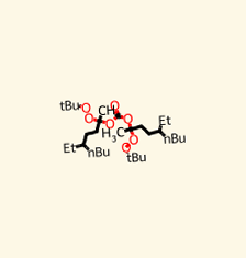 CCCCC(CC)CCC(C)(OOC(C)(C)C)OC(=O)OC(C)(CCC(CC)CCCC)OOC(C)(C)C